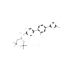 Cc1nsc(-c2ccc(-c3cnc(N(C)C4CC(C)(C)NC(C)(C)C4)nn3)c(O)c2)n1.Cl